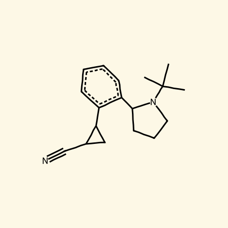 CC(C)(C)N1CCCC1c1ccccc1C1CC1C#N